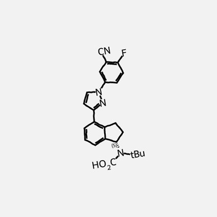 CC(C)(C)N(C(=O)O)[C@H]1CCc2c(-c3ccn(-c4ccc(F)c(C#N)c4)n3)cccc21